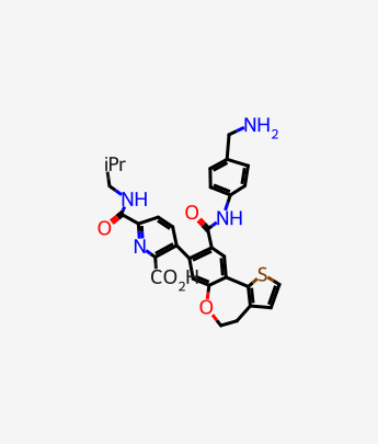 CC(C)CNC(=O)c1ccc(-c2cc3c(cc2C(=O)Nc2ccc(CN)cc2)-c2sccc2CCO3)c(C(=O)O)n1